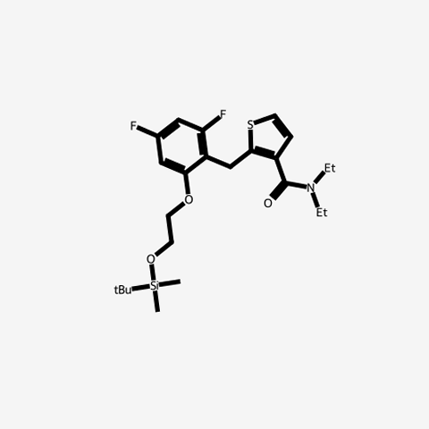 CCN(CC)C(=O)c1ccsc1Cc1c(F)cc(F)cc1OCCO[Si](C)(C)C(C)(C)C